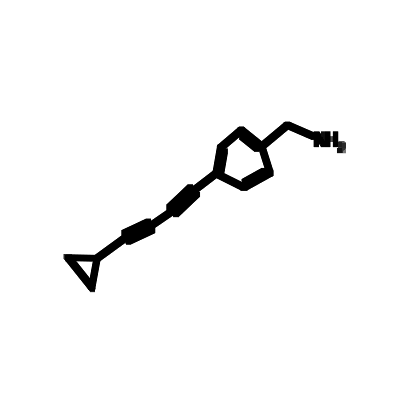 NCc1ccc(C#CC#CC2CC2)cc1